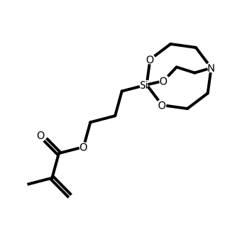 C=C(C)C(=O)OCCC[Si]12OCCN(CCO1)CCO2